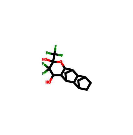 OC1C2C3CC(C2OC(O)(C(F)(F)F)C1(F)F)C1C2CCC(C2)C31